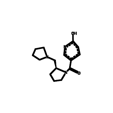 O=C(c1ccc(O)nc1)N1CCC[C@H]1CN1CCCC1